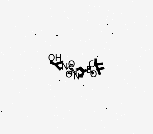 CC1(C)OB(c2cnn(S(=O)(=O)N3CC(CO)C3)c2)OC1(C)C